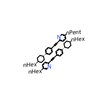 CCCCCC[C@H]1CC[C@H](c2ccc(C#Cc3ccc(CCCCC)cn3)cc2)CC1.CCCCCCc1ccc(C#Cc2ccc([C@H]3CC[C@H](CCCCCC)CC3)cc2)nc1